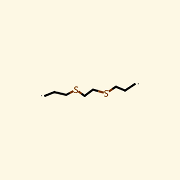 [CH2]CCSCCSCC[CH2]